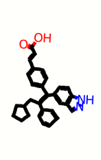 O=C(O)C=Cc1ccc(C(=C(CC2CCCC2)c2ccccc2)c2ccc3[nH]ncc3c2)cc1